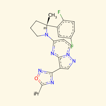 CC(C)c1nc(-c2cnn3ccc(N4CCC[C@]4(C)c4cc(F)ccc4F)nc23)no1